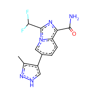 Cc1n[nH]cc1-c1ccc2c(C(N)=O)nc(C(F)F)n2c1